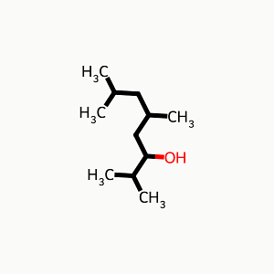 CC(C)CC(C)CC(O)C(C)C